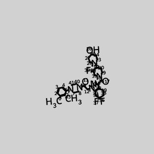 Cc1cccc(N2CCN(C(=O)Cn3nc(C(=O)N4CC[C@H](N5CCC(O)CC5)[C@H](F)C4)c4c3CC(F)(F)CC4)CC2)c1C